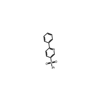 CC(C)S(=O)(=O)c1ccc(-c2ccccc2)nc1